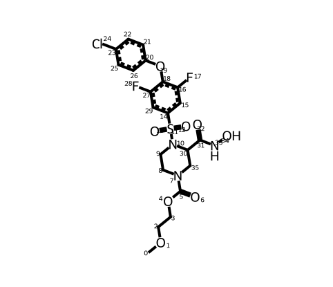 COCCOC(=O)N1CCN(S(=O)(=O)c2cc(F)c(Oc3ccc(Cl)cc3)c(F)c2)C(C(=O)NO)C1